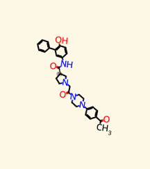 CC(=O)c1ccc(N2CCN(C(=O)CN3CC[C@@H](C(=O)Nc4ccc(O)c(-c5ccccc5)c4)C3)CC2)cc1